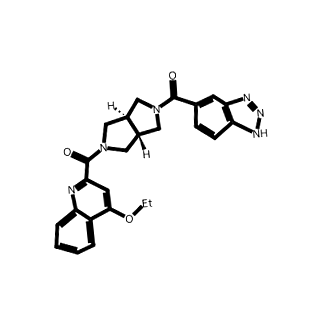 CCOc1cc(C(=O)N2C[C@H]3CN(C(=O)c4ccc5[nH]nnc5c4)C[C@@H]3C2)nc2ccccc12